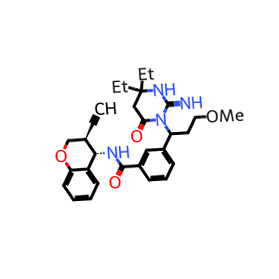 C#C[C@@H]1COc2ccccc2[C@H]1NC(=O)c1cccc(C(CCOC)N2C(=N)NC(CC)(CC)CC2=O)c1